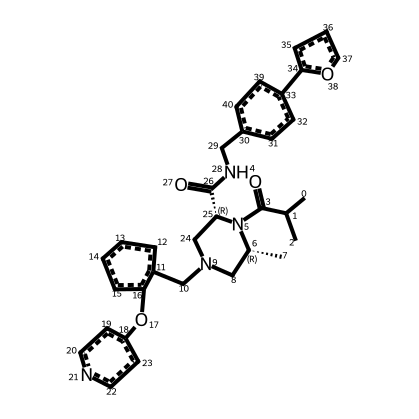 CC(C)C(=O)N1[C@H](C)CN(Cc2ccccc2Oc2ccncc2)C[C@@H]1C(=O)NCc1ccc(-c2ccco2)cc1